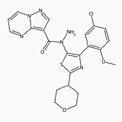 COc1ccc(Cl)cc1-c1nc(C2CCOCC2)sc1N(N)C(=O)c1cnn2cccnc12